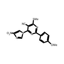 COc1ccc(-c2nc(SC)c(C#N)c(-n3cnc([N+](=O)[O-])c3)n2)cc1